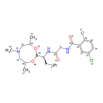 CC(C)C[C@H](NC(=O)CNC(=O)c1cc(Cl)ccc1Cl)B1OC(C)CN(C)CC(C)O1